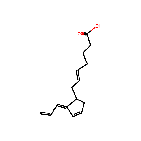 C=CC=C1C=CCC1CC=CCCCC(=O)O